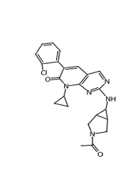 CC(=O)N1CC2C(C1)C2Nc1ncc2cc(-c3ccccc3Cl)c(=O)n(C3CC3)c2n1